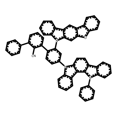 N#Cc1c(-c2ccccc2)cccc1-c1ccc(-n2c3ccccc3c3c2ccc2c4ccccc4n(-c4ccccc4)c23)cc1-n1c2ccccc2c2cc3c(cc21)oc1ccccc13